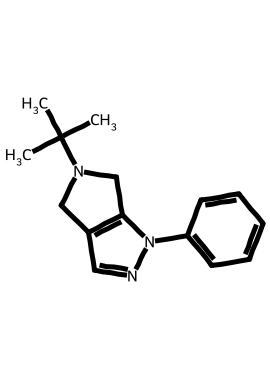 CC(C)(C)N1Cc2cnn(-c3ccccc3)c2C1